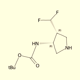 CC(C)(C)OC(=O)N[C@H]1CNC[C@H]1C(F)F